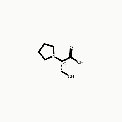 O=C(O)[C@H](CO)N1CCCC1